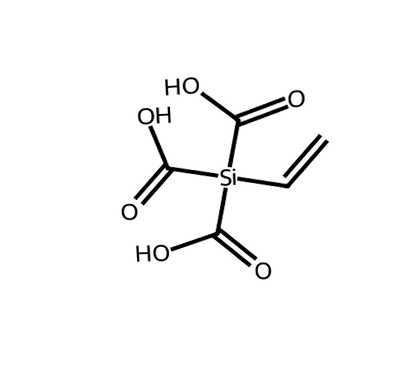 C=C[Si](C(=O)O)(C(=O)O)C(=O)O